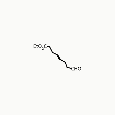 CCOC(=O)CCC=CCCC=O